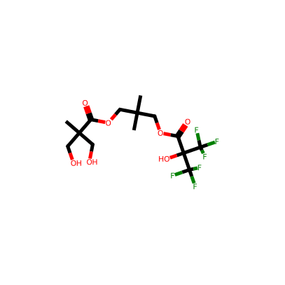 CC(C)(COC(=O)C(C)(CO)CO)COC(=O)C(O)(C(F)(F)F)C(F)(F)F